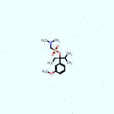 CC[C@](OS(=O)(=O)CN(C)C)(c1cccc(OC)c1)C(C)C